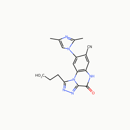 Cc1cn(-c2cc3c(cc2C#N)[nH]c(=O)c2nnc(CCC(=O)O)n23)c(C)n1